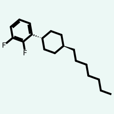 CCCCCCC[C@H]1CC[C@H](c2cccc(F)c2F)CC1